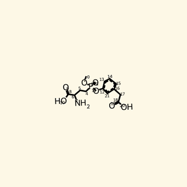 COP(=O)(CCC(N)C(=O)O)Oc1cccc(CC(=O)O)c1